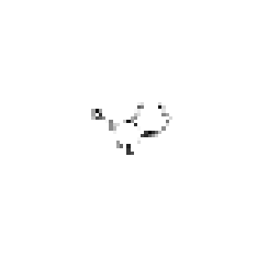 Sn1cnc2ccccc21